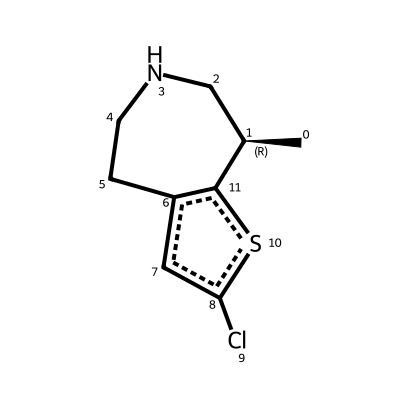 C[C@@H]1CNCCc2cc(Cl)sc21